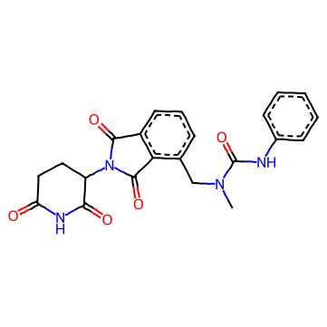 CN(Cc1cccc2c1C(=O)N(C1CCC(=O)NC1=O)C2=O)C(=O)Nc1ccccc1